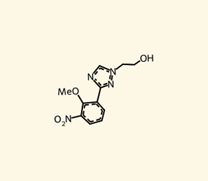 COc1c(-c2ncn(CCO)n2)cccc1[N+](=O)[O-]